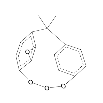 CC1(C)c2ccc(cc2)OOOc2ccc1c1c2O1